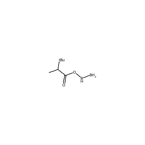 BBOC(=O)C(C)C(C)(C)C